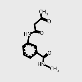 CNC(=O)c1cccc(NC(=O)CC(C)=O)c1